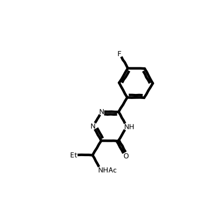 CCC(NC(C)=O)c1nnc(-c2cccc(F)c2)[nH]c1=O